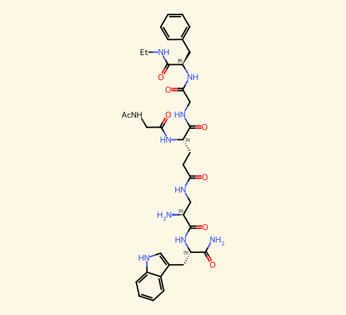 CCNC(=O)[C@@H](Cc1ccccc1)NC(=O)CNC(=O)[C@H](CCC(=O)NC[C@H](N)C(=O)N[C@@H](Cc1c[nH]c2ccccc12)C(N)=O)NC(=O)CNC(C)=O